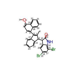 COc1ccc(C2=C(C)C(C3C(=O)Nc4c(Br)cc(Br)cc43)c3ccccc32)c2ccccc12